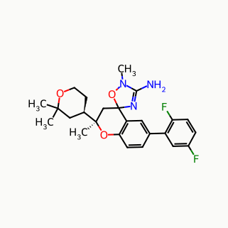 CN1OC2(C[C@](C)([C@@H]3CCOC(C)(C)C3)Oc3ccc(-c4cc(F)ccc4F)cc32)N=C1N